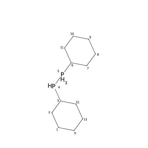 C1CCC(P[PH3]C2CCCCC2)CC1